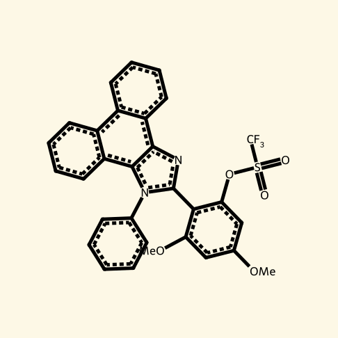 COc1cc(OC)c(-c2nc3c4ccccc4c4ccccc4c3n2-c2ccccc2)c(OS(=O)(=O)C(F)(F)F)c1